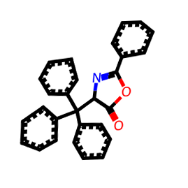 O=C1OC(c2ccccc2)=NC1C(c1ccccc1)(c1ccccc1)c1ccccc1